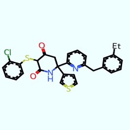 CCc1cccc(Cc2cccc(C3(c4ccsc4)CC(=O)C(Sc4ccccc4Cl)C(=O)N3)n2)c1